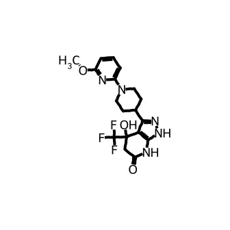 COc1cccc(N2CCC(c3n[nH]c4c3C(O)(C(F)(F)F)CC(=O)N4)CC2)n1